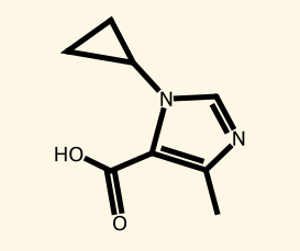 Cc1ncn(C2CC2)c1C(=O)O